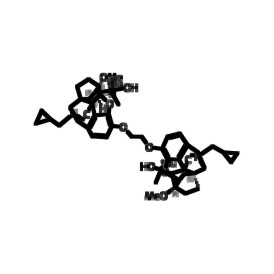 CO[C@]12CC[C@@]3(CC1C(C)(O)C(C)(C)C)C1Cc4ccc(OCCOc5ccc6c7c5O[C@@H]5[C@]8(OC)CCC9(C[C@@H]8C(C)(O)C(C)(C)C)C(C6)N(CC6CC6)CC[C@]759)c5c4C3(CCN1CC1CC1)C2O5